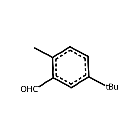 Cc1ccc(C(C)(C)C)cc1C=O